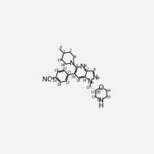 CC1CCN(c2nc3cnn(C[C@H]4CNCCO4)c3cc2-c2ccc(C#N)cc2)CC1